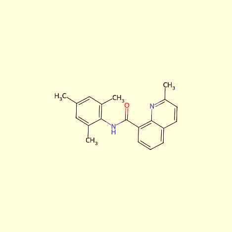 Cc1cc(C)c(NC(=O)c2cccc3ccc(C)nc23)c(C)c1